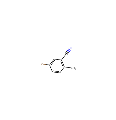 Cc1c[c]c(Br)cc1C#N